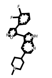 CN1CCC(c2cnc3[nH]cc(-c4oncc4-c4cccc(F)c4F)c3c2)CC1